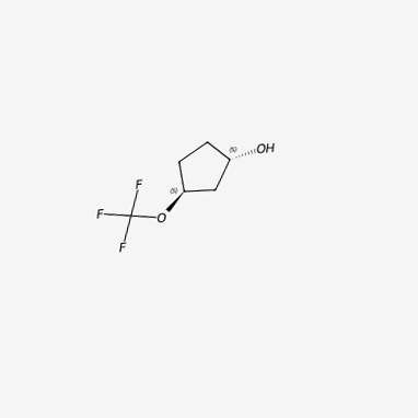 O[C@H]1CC[C@H](OC(F)(F)F)C1